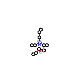 C1=CC2Oc3c(-c4ccc5ccccc5c4)cccc3C2C(c2cc(-c3nc(-c4ccc(-c5ccc6ccccc6c5)cc4)nc(-c4ccc5ccccc5c4)n3)cc3ccccc23)=C1